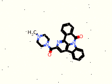 CN1CCN(C(=O)c2cc3c4ccccc4n4c(=O)c5ccccc5c(n2)c34)CC1